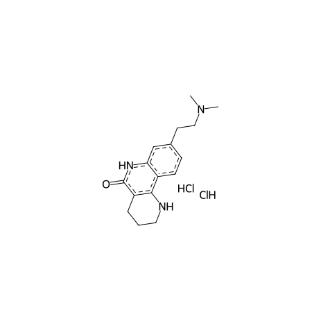 CN(C)CCc1ccc2c3c(c(=O)[nH]c2c1)CCCN3.Cl.Cl